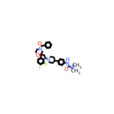 CN(C)C(=O)Nc1ccc(C2CCN(CCC3(c4ccc(F)c(F)c4)CN(C(=O)c4ccccc4)CCO3)CC2)cc1